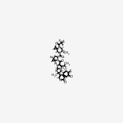 CC(C)C1=C(C(=O)N2[C@@H]3C[C@H]3C[C@H]2C(=O)N2CC3(CC3)N(C(=O)C(F)(F)F)C[C@@H]2C)SC2=N[C@@](C)(c3ccc(Cl)nc3)[C@@H](c3ccc(Cl)c(F)c3)N21